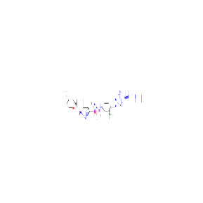 C[C@H]1CN(Cc2ccc(N(C)C(=O)c3ccc(Oc4ccc(F)cc4)nc3)cc2F)CCN1